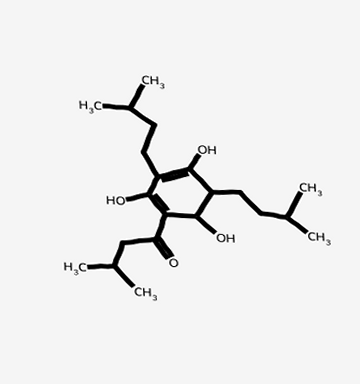 CC(C)CCC1=C(O)C(CCC(C)C)C(O)C(C(=O)CC(C)C)=C1O